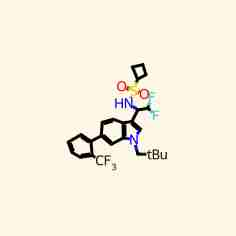 CC(C)(C)Cn1cc(C(NS(=O)(=O)C2CCC2)C(F)F)c2ccc(-c3ccccc3C(F)(F)F)cc21